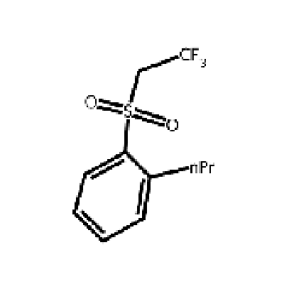 CCCc1ccccc1S(=O)(=O)CC(F)(F)F